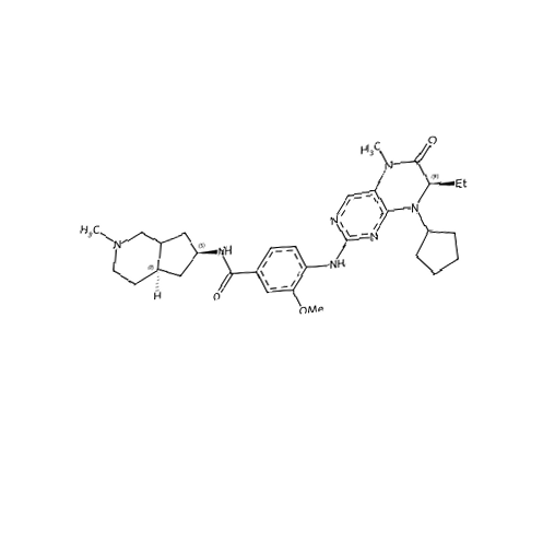 CC[C@@H]1C(=O)N(C)c2cnc(Nc3ccc(C(=O)N[C@@H]4CC5CN(C)CC[C@@H]5C4)cc3OC)nc2N1C1CCCC1